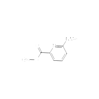 CNc1cccc(C(=O)OC(C)(C)C)n1